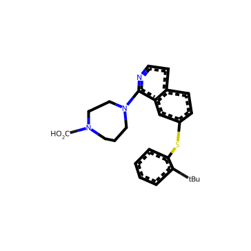 CC(C)(C)c1ccccc1Sc1ccc2ccnc(N3CCCN(C(=O)O)CC3)c2c1